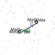 CCCN(CCCCCCNCCCc1ccc(OC)c(OC)c1)C1CCc2c(ccc(OC)c2OC)C1.Cl.Cl